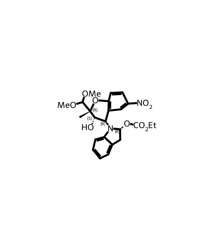 CCOC(=O)O[C@@H]1Cc2ccccc2N1[C@@H]1c2cc([N+](=O)[O-])ccc2O[C@@](C)(C(OC)OC)[C@H]1O